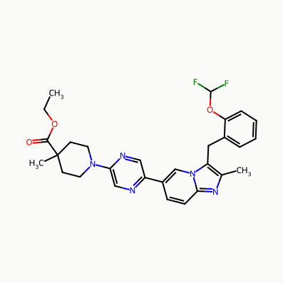 CCOC(=O)C1(C)CCN(c2cnc(-c3ccc4nc(C)c(Cc5ccccc5OC(F)F)n4c3)cn2)CC1